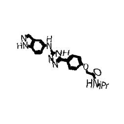 CC(C)NC(=O)COc1ccc(-c2nnc(Nc3ccc4[nH]ncc4c3)[nH]2)cc1